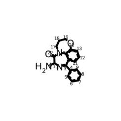 NC1N=C(c2ccccc2)c2cccc3c2N(CCCO3)C1=O